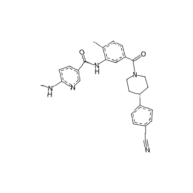 CNc1ccc(C(=O)Nc2cc(C(=O)N3CCC(c4ccc(C#N)cc4)CC3)ccc2C)cn1